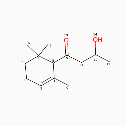 CC1=CCCC(C)(C)C1C(=O)CC(C)O